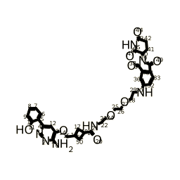 Nc1nnc(-c2ccccc2O)cc1OCC12CC(C(=O)NCCOCCOCCNc3ccc4c(c3)C(=O)N(C3CCC(=O)NC3=O)C4=O)(C1)C2